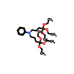 CCO[Si](CCCN(CCC[Si](OCC)(OCC)OCC)c1ccccc1)(OCC)OCC